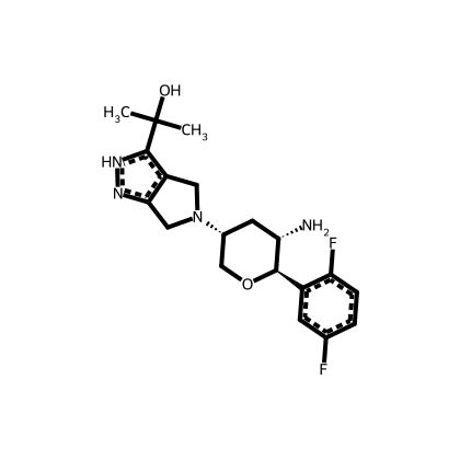 CC(C)(O)c1[nH]nc2c1CN([C@H]1CO[C@H](c3cc(F)ccc3F)[C@@H](N)C1)C2